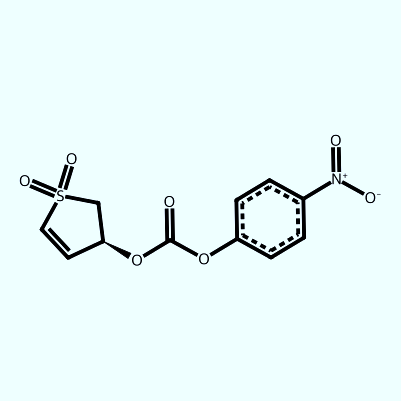 O=C(Oc1ccc([N+](=O)[O-])cc1)O[C@H]1C=CS(=O)(=O)C1